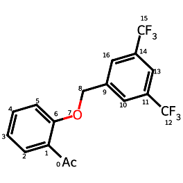 CC(=O)c1ccccc1OCc1cc(C(F)(F)F)cc(C(F)(F)F)c1